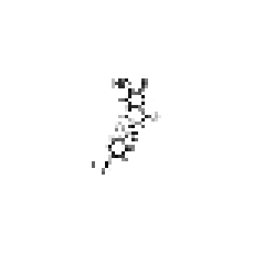 Cc1ccc(S(=O)(=O)N2CC(=O)c3cc(F)c(O)cc3C2)cc1